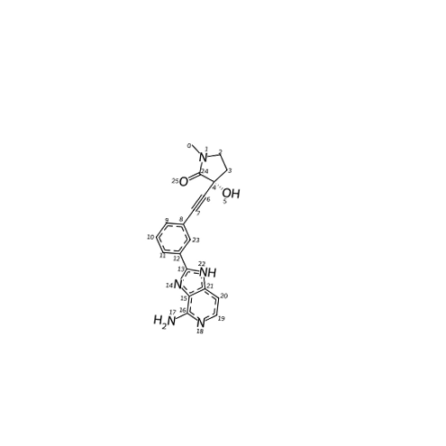 CN1CC[C@@](O)(C#Cc2cccc(-c3nc4c(N)nccc4[nH]3)c2)C1=O